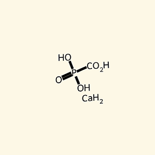 O=C(O)P(=O)(O)O.[CaH2]